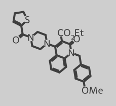 CCOC(=O)c1c(N2CCN(C(=O)C3=CCCS3)CC2)c2ccccc2n(Cc2ccc(OC)cc2)c1=O